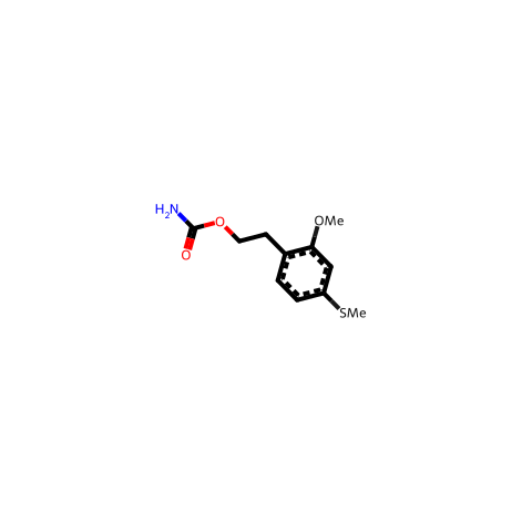 COc1cc(SC)ccc1CCOC(N)=O